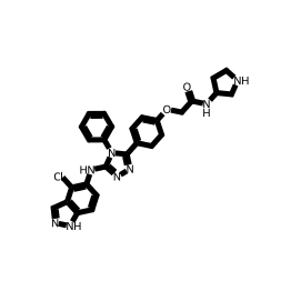 O=C(COC1=CC=C(c2nnc(Nc3ccc4[nH]ncc4c3Cl)n2-c2ccccc2)CC1)NC1CCNC1